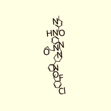 Cc1ccc(C(=O)Nc2ccc3c(c2)nc(CN2CCC(c4cccc(OCc5ccc(Cl)cc5F)n4)CC2)n3CC2CCO2)cn1